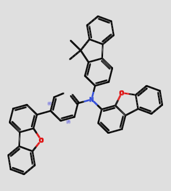 C=C(/C=C\C(=C/C)c1cccc2c1oc1ccccc12)N(c1ccc2c(c1)C(C)(C)c1ccccc1-2)c1cccc2c1oc1ccccc12